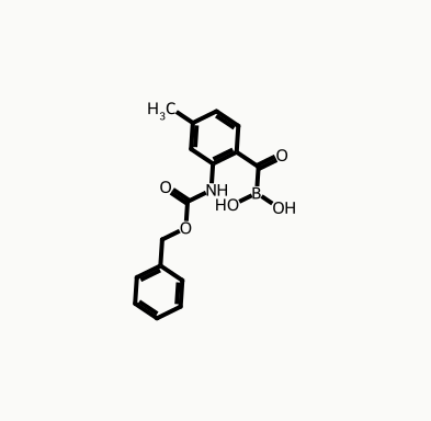 Cc1ccc(C(=O)B(O)O)c(NC(=O)OCc2ccccc2)c1